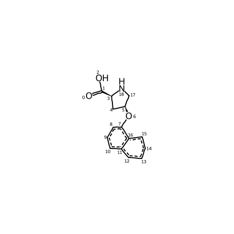 O=C(O)[C@@H]1C[C@H](Oc2cccc3ccccc23)CN1